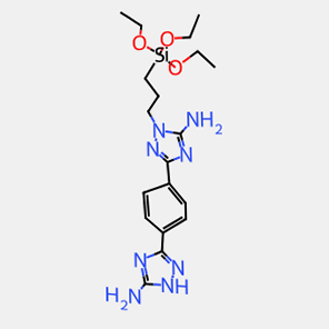 CCO[Si](CCCn1nc(-c2ccc(-c3n[nH]c(N)n3)cc2)nc1N)(OCC)OCC